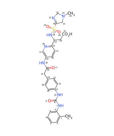 Cc1ccccc1NC(=O)Nc1ccc(CC(=O)Nc2ccc(C(CC(=O)O)NS(=O)(=O)C3=NCN(C)C3)nc2)cc1